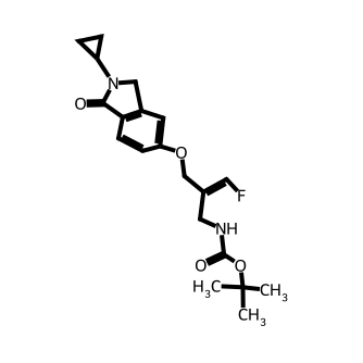 CC(C)(C)OC(=O)NCC(=CF)COc1ccc2c(c1)CN(C1CC1)C2=O